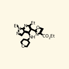 CCOC(=O)c1coc(-c2c(CC)nc3c(cnn3CC)c2NC2CCOCC2)n1